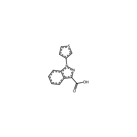 O=C(O)c1nn(-c2ccsc2)c2ccccc12